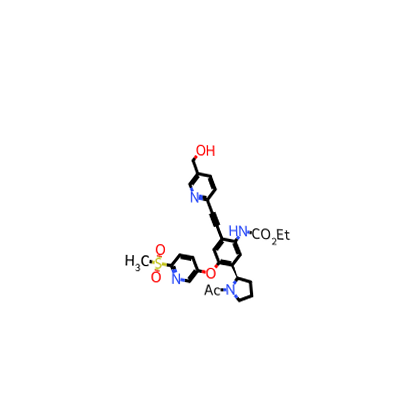 CCOC(=O)Nc1cc([C@H]2CCCN2C(C)=O)c(Oc2ccc(S(C)(=O)=O)nc2)cc1C#Cc1ccc(CO)cn1